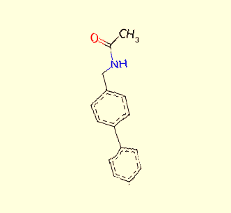 CC(=O)NCc1ccc(-c2cc[c]cc2)cc1